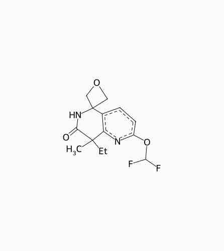 CCC1(C)C(=O)NC2(COC2)c2ccc(OC(F)F)nc21